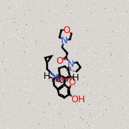 O=C(CCN1CCOCC1)N1CCC[C@]12CC[C@@]1(O)[C@H]3Cc4ccc(O)c5c4[C@@]1(CCN3CC1CC1)[C@H]2O5